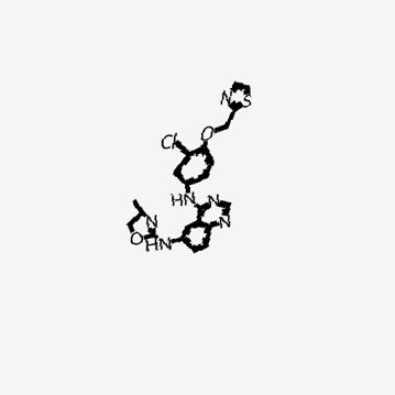 CC1COC(Nc2ccc3ncnc(Nc4ccc(OCc5nccs5)c(Cl)c4)c3c2)=N1